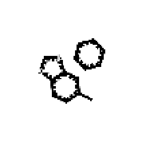 Cc1ccc2ocnc2c1.c1ccccc1